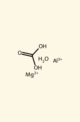 O.O=C(O)O.[Al+3].[Mg+2]